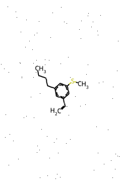 C=[C]c1cc(CCCC)cc(SC)c1